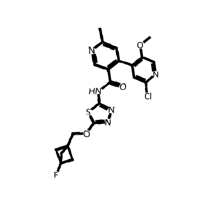 COc1cnc(Cl)cc1-c1cc(C)ncc1C(=O)Nc1nnc(OCC23CC(F)(C2)C3)s1